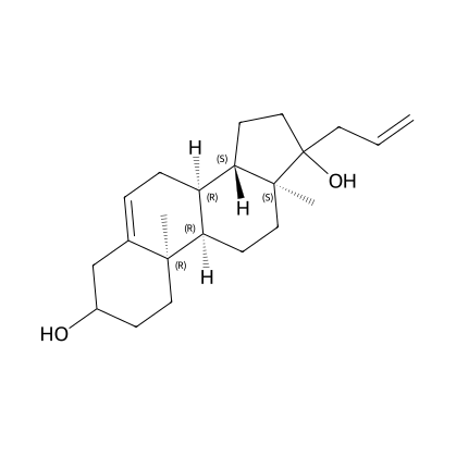 C=CCC1(O)CC[C@H]2[C@@H]3CC=C4CC(O)CC[C@]4(C)[C@@H]3CC[C@@]21C